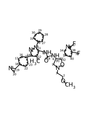 COCCN1C[C@@H](NC(=O)Nc2c(C)c(-c3ccc(C4C=N4)cc3)nn2-c2ccccc2)[C@H](c2cnc(F)c(F)c2)O1